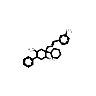 CC(=O)OC1CC(c2ccccc2)C(C)CC1(CC=Cc1cccc(C)c1)C1CCCCC1